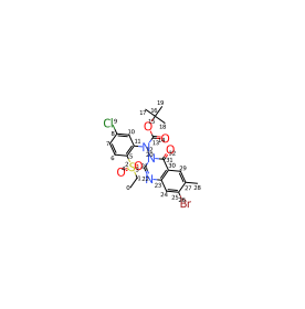 CCS(=O)(=O)c1ccc(Cl)cc1N(C(=O)OC(C)(C)C)n1cnc2cc(Br)c(C)cc2c1=O